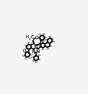 C=C1/C=C(c2ccc3oc4ccccc4c3c2-c2nc(-c3ccccc3)nc(-c3ccc4c(ccc5ccccc54)c3)n2)\C=C/Cc2ccccc2O1